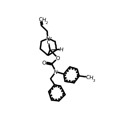 C=CC[N+]12CCC(CC1)[C@@H](OC(=O)N(Cc1ccccc1)c1ccc(C)cc1)C2